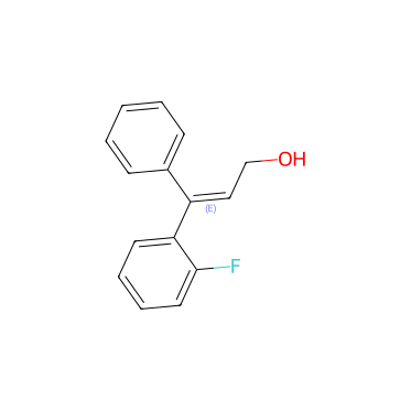 OC/C=C(\c1ccccc1)c1ccccc1F